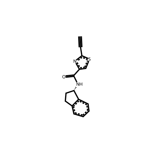 C#Cc1nc(C(=O)N[C@H]2CCc3ccccc32)cs1